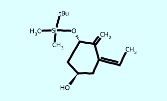 C=C1/C(=C\C)C[C@@H](O)C[C@@H]1O[Si](C)(C)C(C)(C)C